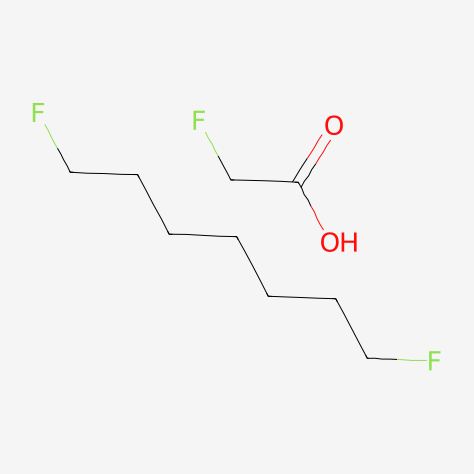 FCCCCCCCF.O=C(O)CF